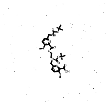 CSc1ccc(CN(CCOC(=O)c2nc(CNC(=O)OC(C)(C)C)ccc2SC)C(=O)OC(C)(C)C)nc1C(=O)O